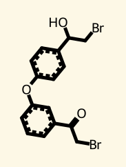 O=C(CBr)c1cccc(Oc2ccc(C(O)CBr)cc2)c1